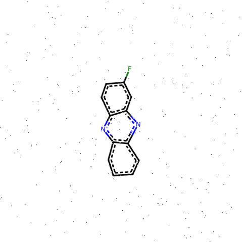 Fc1ccc2nc3ccccc3nc2c1